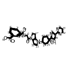 COC(=O)c1cccc(C(=O)NCC(=O)N2CCC3C2CCN3[C@H]2CC[C@@](O)(c3ccc(-c4ncccn4)cn3)CC2)c1